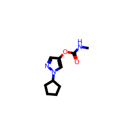 CNC(=O)Oc1cnn(C2CCCC2)c1